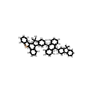 CC1(C)c2ccccc2-c2ccc(-c3c4ccccc4c(-c4ccc5c(c4)-c4c(c6c7ccccc7sc6c6ccccc46)C5(C)C)c4ccccc34)cc21